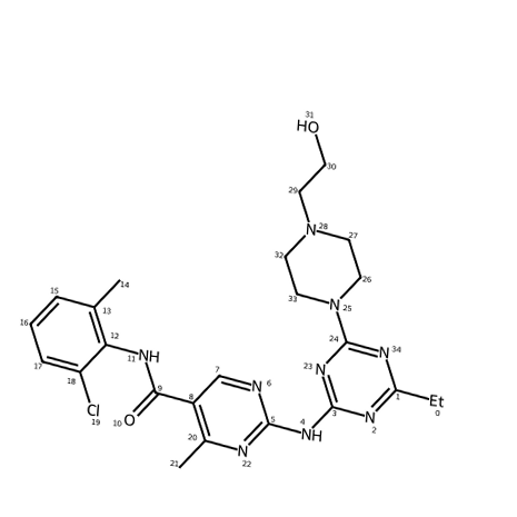 CCc1nc(Nc2ncc(C(=O)Nc3c(C)cccc3Cl)c(C)n2)nc(N2CCN(CCO)CC2)n1